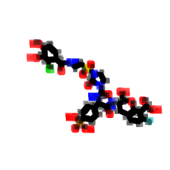 O=C(NCCS(=O)(=O)N1CCN(C(=O)N[C@@H](C(=O)N[C@H]2Cc3ccc(F)c(C(=O)O)c3OB2O)c2ccc(P(=O)(O)O)cc2)C1=O)c1ccc(O)c(O)c1Cl